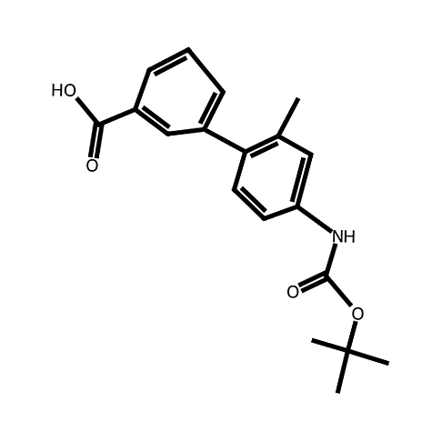 Cc1cc(NC(=O)OC(C)(C)C)ccc1-c1cccc(C(=O)O)c1